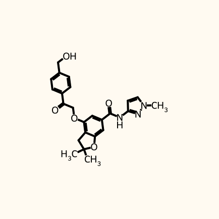 Cn1ccc(NC(=O)c2cc(OCC(=O)c3ccc(CO)cc3)c3c(c2)OC(C)(C)C3)n1